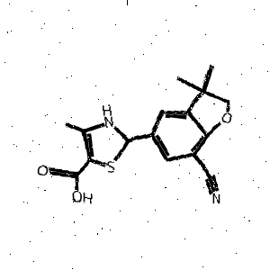 CC1=C(C(=O)O)SC(c2cc(C#N)c3c(c2)C(C)(C)CO3)N1